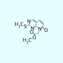 COC(=O)Cn1c(=O)ccc2cnc(SC)nc21